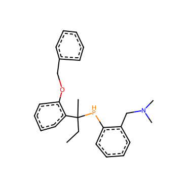 CCC(C)(Pc1ccccc1CN(C)C)c1ccccc1OCc1ccccc1